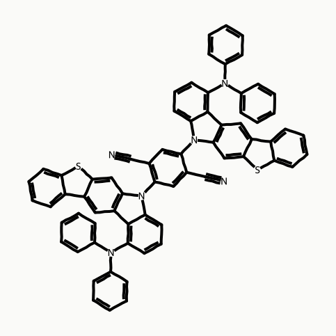 N#Cc1cc(-n2c3cc4sc5ccccc5c4cc3c3c(N(c4ccccc4)c4ccccc4)cccc32)c(C#N)cc1-n1c2cc3sc4ccccc4c3cc2c2c(N(c3ccccc3)c3ccccc3)cccc21